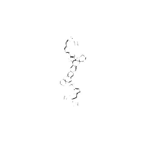 N#CC(C#N)=Cc1ccc(-c2nc3c(s2)C2=CC4C=C5OC6(CCCCC6)c6nc(-c7ccc(C=C(C#N)C#N)s7)sc6C5=CC4C=C2OC32CCCCC2)s1